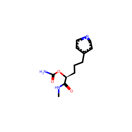 CNC(=O)[C@H](CCCc1ccncc1)OC(N)=O